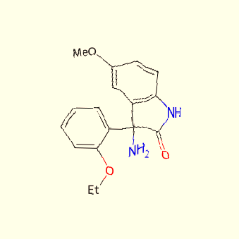 CCOc1ccccc1C1(N)C(=O)Nc2ccc(OC)cc21